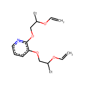 C=COC(CC)COc1cccnc1OCC(CC)OC=C